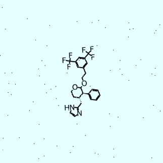 FC(F)(F)c1cc(CCOC2OCC[C@@H](Cc3ncc[nH]3)[C@@H]2c2ccccc2)cc(C(F)(F)F)c1